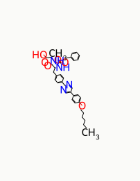 CCCCCCCOc1ccc(-c2cnc(-c3ccc(CC(NC(=O)OCc4ccccc4)C(=O)N[C@H](C)C(=O)O)cc3)nc2)cc1